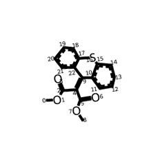 COC(=O)C(C(=O)OC)=C1c2ccccc2Sc2ccccc21